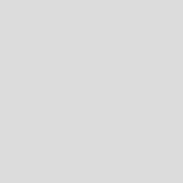 ClCC1CCCC[C@@H]1CCl